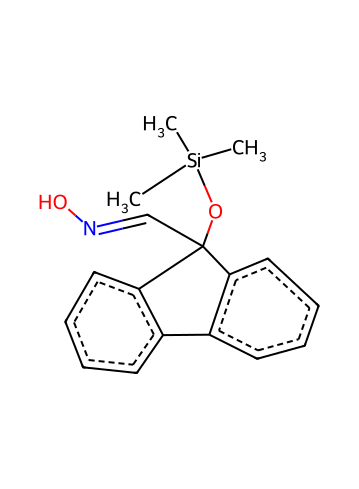 C[Si](C)(C)OC1(C=NO)c2ccccc2-c2ccccc21